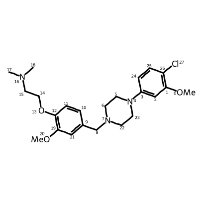 COc1cc(N2CCN(Cc3ccc(OCCN(C)C)c(OC)c3)CC2)ccc1Cl